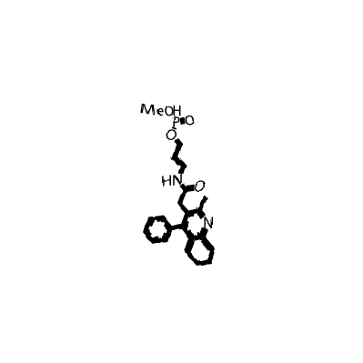 CO[PH](=O)OCCCNC(=O)Cc1c(C)nc2c(c1-c1ccccc1)=CCCC=2